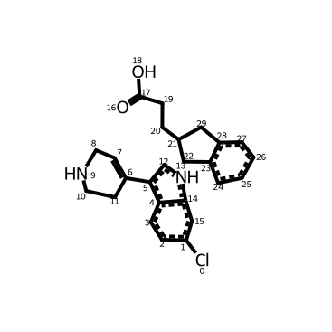 Clc1ccc2c(C3=CCNCC3)c[nH]c2c1.O=C(O)CCC1Cc2ccccc2C1